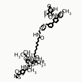 Cc1ncsc1-c1ccc([C@H](C)NC(=O)[C@@H]2C[C@@H](OC(=O)C(C)C)CN2C(=O)[C@@H](NC(=O)CCCCCCCCCC(=O)NCCN2CCN(Cc3cccc(-c4ccc(N5CCN(C)CC5)c(NC(=O)c5c[nH]c(=O)cc5C(F)(F)F)c4)c3)CC2)C(C)(C)C)cc1